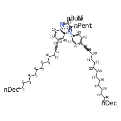 CCCCCCCCCCCCCCCCCCCCCC#Cc1ccc(N=C(CCCC)C(CCCCC)=Nc2ccc(C#CCCCCCCCCCCCCCCCCCCCCC)cc2)cc1.[Ni]